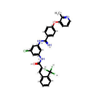 Cc1ncccc1Oc1ccc(C(=N)Nc2cc(Cl)cc(NC(=O)C=Cc3ccccc3C(F)(F)F)c2)cc1